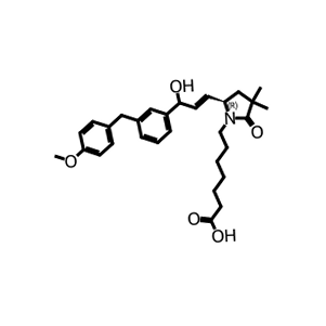 COc1ccc(Cc2cccc(C(O)C=C[C@H]3CC(C)(C)C(=O)N3CCCCCCC(=O)O)c2)cc1